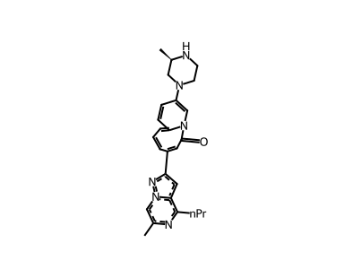 CCCc1nc(C)cn2nc(C3=C\C(=O)N4C=C(N5CCN[C@H](C)C5)C=C\C4=C/C=C/3)cc12